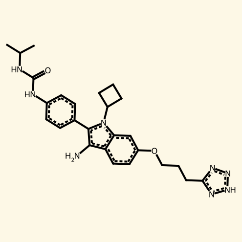 CC(C)NC(=O)Nc1ccc(-c2c(N)c3ccc(OCCCc4nn[nH]n4)cc3n2C2CCC2)cc1